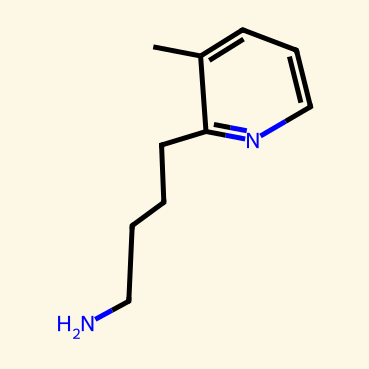 Cc1cccnc1CCCCN